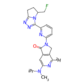 [2H]c1nc(N(C)C(C)C)cc2c1CN(c1cccc(-c3nnc4n3C(CF)CC4)n1)C2=O